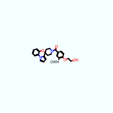 COc1cc(C(=O)N2CCC3(CC2)Oc2ccccc2-n2cccc23)ccc1OCCO